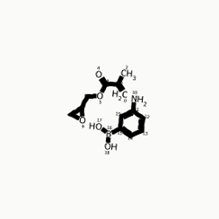 C=C(C)C(=O)OCC1CO1.Nc1cccc(B(O)O)c1